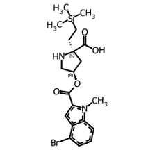 Cn1c(C(=O)O[C@H]2CN[C@@](CC[Si](C)(C)C)(C(=O)O)C2)cc2c(Br)cccc21